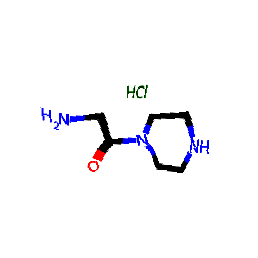 Cl.NCC(=O)N1CCNCC1